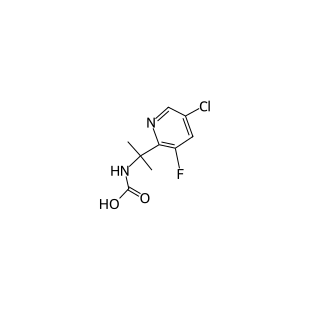 CC(C)(NC(=O)O)c1ncc(Cl)cc1F